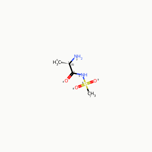 C[C@H](N)C(=O)NS(C)(=O)=O